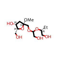 CC[C@H](CO)OC(CO)OC[C@]1(OC)C[C@@H](O)[C@@H](CO)O1